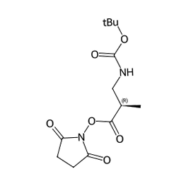 C[C@H](CNC(=O)OC(C)(C)C)C(=O)ON1C(=O)CCC1=O